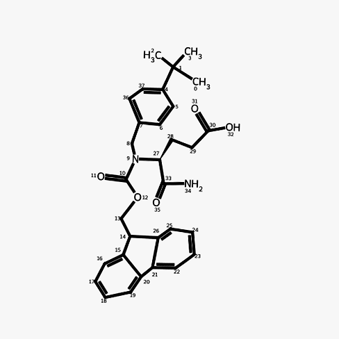 CC(C)(C)c1ccc(CN(C(=O)OCC2c3ccccc3-c3ccccc32)[C@@H](CCC(=O)O)C(N)=O)cc1